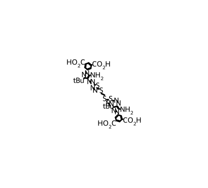 CC(C)(C)c1nn(-c2cc(C(=O)O)cc(C(=O)O)c2)c(N)c1/N=N\c1nnc(SCCSc2nnc(/N=N/c3c(C(C)(C)C)nn(-c4cc(C(=O)O)cc(C(=O)O)c4)c3N)s2)s1